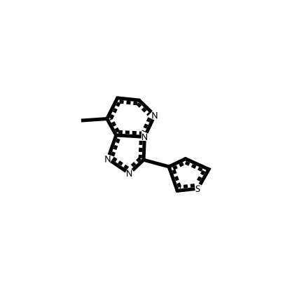 Cc1ccnn2c(-c3ccsc3)nnc12